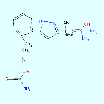 CC(C)C.CNC.Cc1ccccc1.N.NC(O)=S.NC(O)=S.c1cn[nH]c1